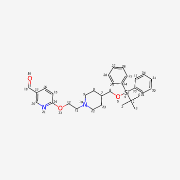 CC(C)(C)[Si](OCC1CCN(CCOc2ccc(C=O)cn2)CC1)(c1ccccc1)c1ccccc1